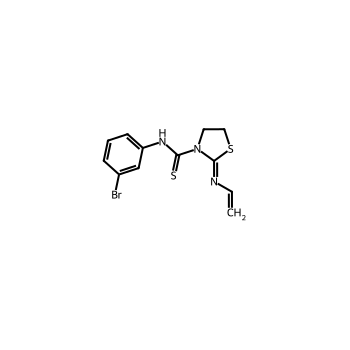 C=CN=C1SCCN1C(=S)Nc1cccc(Br)c1